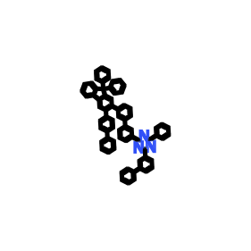 c1ccc(-c2ccc(-c3cc4c(cc3-c3cccc(-c5cccc(-c6nc(-c7ccccc7)nc(-c7cccc(-c8ccccc8)c7)n6)c5)c3)C(c3ccccc3)(c3ccccc3)c3ccccc3-4)cc2)cc1